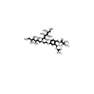 CC(=O)SCc1cc(OCCN(C[C@H](O)[C@@H](O)[C@H](O)[C@H](O)CO)C[C@H](O)[C@@H](O)[C@H](O)[C@H](O)CO)ccc1CSC(=O)C(C)(C)C